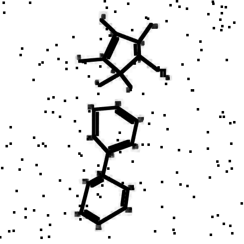 CC1=C(C)C(C)(C)[C]([Ti])=C1C.c1ccc(-c2ccccc2)cc1